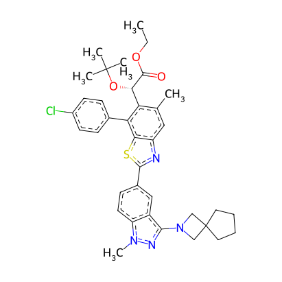 CCOC(=O)[C@@H](OC(C)(C)C)c1c(C)cc2nc(-c3ccc4c(c3)c(N3CC5(CCCC5)C3)nn4C)sc2c1-c1ccc(Cl)cc1